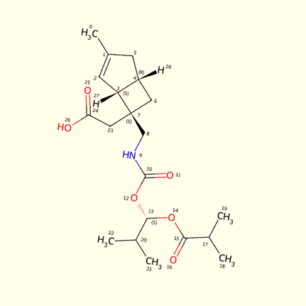 CC1=C[C@@H]2[C@H](C1)C[C@]2(CNC(=O)O[C@H](OC(=O)C(C)C)C(C)C)CC(=O)O